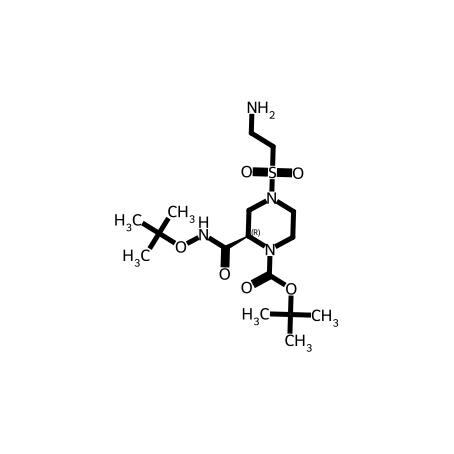 CC(C)(C)ONC(=O)[C@H]1CN(S(=O)(=O)CCN)CCN1C(=O)OC(C)(C)C